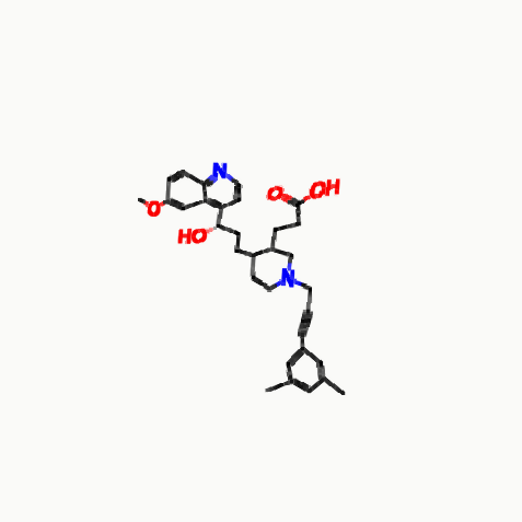 COc1ccc2nccc([C@@H](O)CCC3CCN(CC#Cc4cc(C)cc(C)c4)CC3CCC(=O)O)c2c1